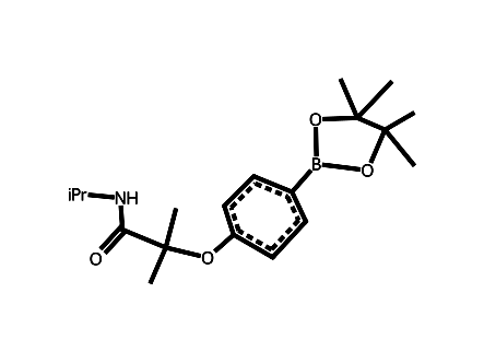 CC(C)NC(=O)C(C)(C)Oc1ccc(B2OC(C)(C)C(C)(C)O2)cc1